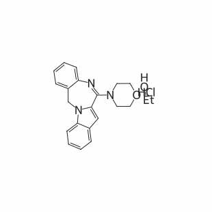 CCO.Cl.c1ccc2c(c1)Cn1c(cc3ccccc31)C(N1CCOCC1)=N2